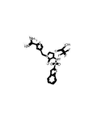 N=C(N)c1cc(CN2CCC(NS(=O)(=O)c3cc4ccccc4s3)C2=O)cs1.O=C(O)C(F)(F)F